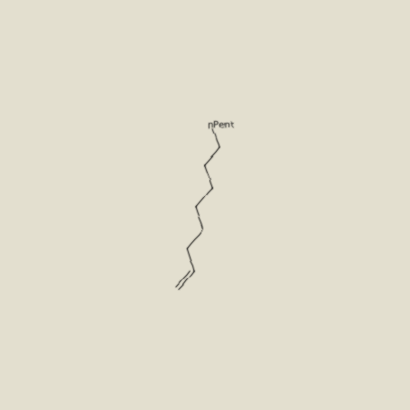 C=CCCCCCCCCC[CH]C